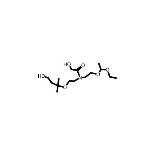 CCOC(C)OCCN(CCOC(C)(C)CCO)C(=O)CO